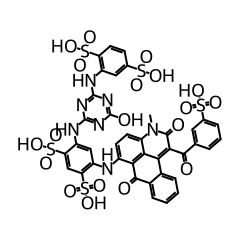 Cn1c(=O)c(C(=O)c2cccc(S(=O)(=O)O)c2)c2c3c(c(Nc4cc(Nc5nc(O)nc(Nc6cc(S(=O)(=O)O)ccc6S(=O)(=O)O)n5)c(S(=O)(=O)O)cc4S(=O)(=O)O)ccc31)C(=O)c1ccccc1-2